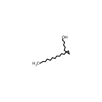 CCCCCCCCCCCCC1(CCCCCO)CC1